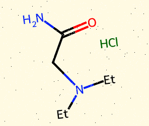 CCN(CC)CC(N)=O.Cl